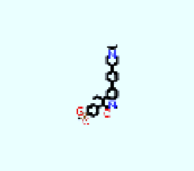 CCc1c(-c2ccc(S(C)(=O)=O)cc2)c(=O)n(C)c2ccc(-c3ccc(C4CCN(C(C)C)CC4)cc3)cc12